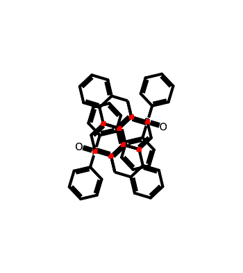 O=P(C1=C(C2=C(P(=O)(c3ccccc3)c3ccccc3)C3c4ccccc4C2c2ccccc23)C2c3ccccc3C1c1ccccc12)(c1ccccc1)c1ccccc1